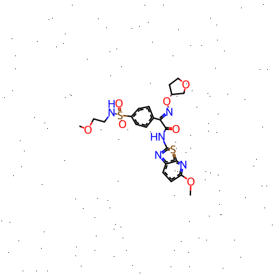 COCCNS(=O)(=O)c1ccc(/C(=N\O[C@@H]2CCOC2)C(=O)Nc2nc3ccc(OC)nc3s2)cc1